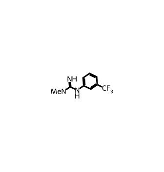 CNC(=N)Nc1cccc(C(F)(F)F)c1